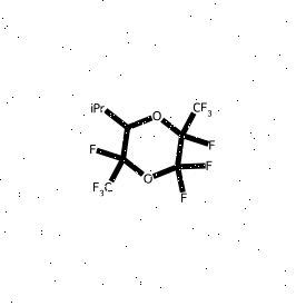 CC(C)C1OC(F)(C(F)(F)F)C(F)(F)OC1(F)C(F)(F)F